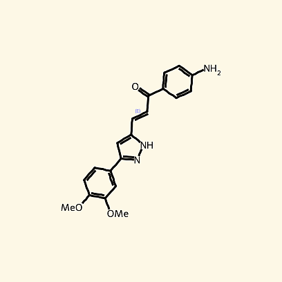 COc1ccc(-c2cc(/C=C/C(=O)c3ccc(N)cc3)[nH]n2)cc1OC